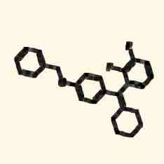 Fc1cccc(C(=C2CCCCC2)c2ccc(OCc3ccccc3)cc2)c1F